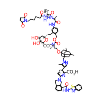 Cc1c(-c2ccc(N3CCc4cccc(C(=O)Nc5nc6ccccc6s5)c4C3)nc2C(=O)O)cnn1CC12CC3(C)CC(C)(C1)CC(OCCN(C)C(=O)OCc1ccc(NC(=O)[C@H](C)NC(=O)[C@@H](NC(=O)CCCCCN4C(=O)C=CC4=O)C(C)C)cc1CC[C@H]1C[C@@H](O)[C@H](O)[C@@H](C(=O)O)O1)(C3)C2